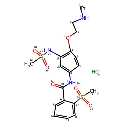 CC(C)NCCOc1ccc(NC(=O)c2ccccc2S(C)(=O)=O)cc1NS(C)(=O)=O.Cl